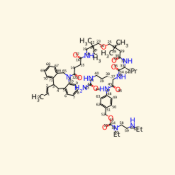 C/C=C/C1Cc2ccccc2N(C(=O)CCC(=O)NCC(C)(C)COCC(C)(C)CC(=O)N[C@H](C(=O)N[C@@H](CCCNC(N)=O)C(=O)Nc2ccc(COC(=O)N(CC)CCNCC)cc2)C(C)C)Cc2ccccc21